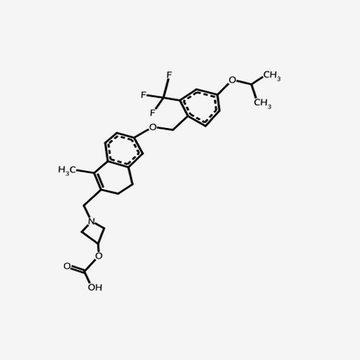 CC1=C(CN2CC(OC(=O)O)C2)CCc2cc(OCc3ccc(OC(C)C)cc3C(F)(F)F)ccc21